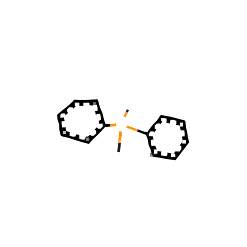 CCCCC[P+](CCCCC)(c1ccccc1)c1ccccc1.[Br-]